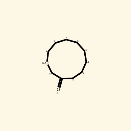 O=C1CCCCCCCCOC1